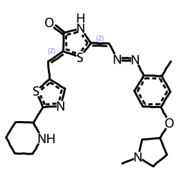 Cc1cc(OC2CCN(C)C2)ccc1N=N/C=c1/[nH]c(=O)/c(=C/c2cnc(C3CCCCN3)s2)s1